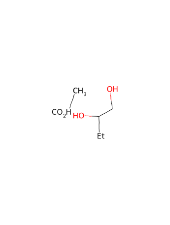 CC(=O)O.CCC(O)CO